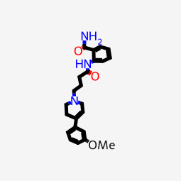 COc1cccc(C2=CCN(CCCC(=O)Nc3ccccc3C(N)=O)CC2)c1